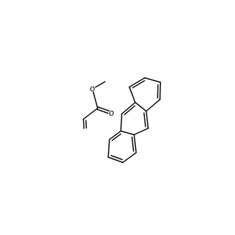 C=CC(=O)OC.c1ccc2cc3ccccc3cc2c1